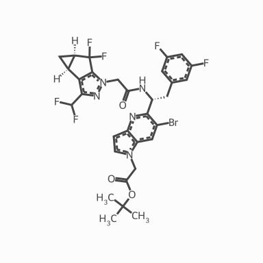 CC(C)(C)OC(=O)Cn1ccc2nc([C@@H](Cc3cc(F)cc(F)c3)NC(=O)Cn3nc(C(F)F)c4c3C(F)(F)[C@@H]3C[C@H]43)c(Br)cc21